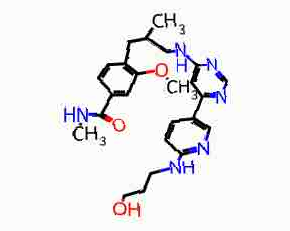 CNC(=O)c1ccc(CC(C)CNc2cc(-c3ccc(NCCCO)nc3)ncn2)c(OC)c1